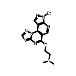 CCn1ncc2c1ncc1c(OCCN(C)C)nc3ncnn3c12